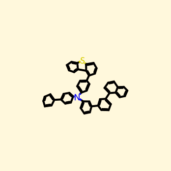 c1ccc(-c2ccc(N(c3ccc(-c4cccc5sc6ccccc6c45)cc3)c3cccc(-c4cccc(-c5cccc6ccccc56)c4)c3)cc2)cc1